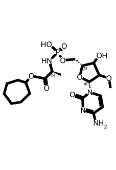 COC1C(O)[C@@H](COP(=O)(O)N[C@@H](C)C(=O)OC2CCCCCC2)O[C@H]1n1ccc(N)nc1=O